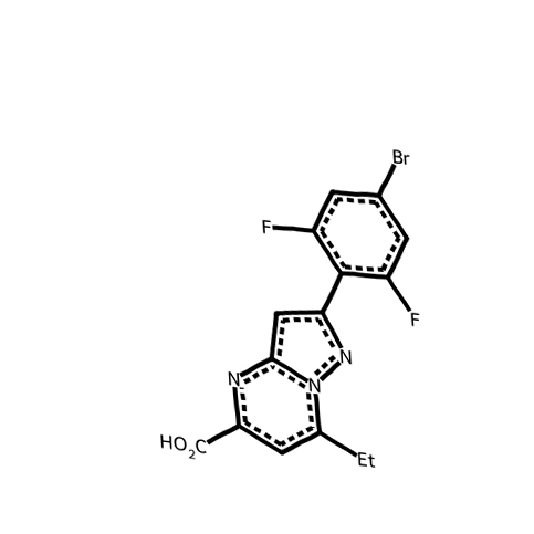 CCc1cc(C(=O)O)nc2cc(-c3c(F)cc(Br)cc3F)nn12